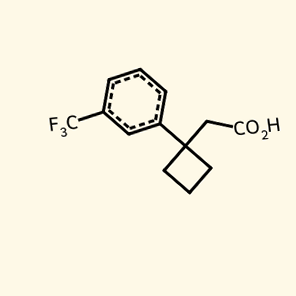 O=C(O)CC1(c2cccc(C(F)(F)F)c2)CCC1